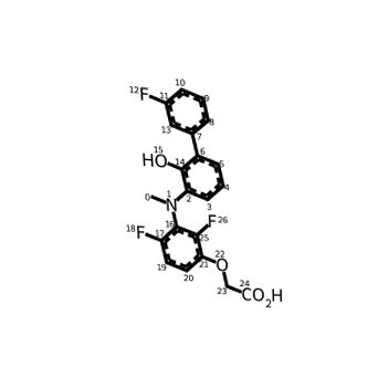 CN(c1cccc(-c2cccc(F)c2)c1O)c1c(F)ccc(OCC(=O)O)c1F